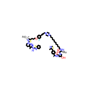 Cc1ncsc1-c1ccc([C@H](C)NC(=O)[C@@H]2C[C@@H](O)CN2C(=O)[C@@H](NC(=O)CCCCCCCCCCCN2CCN(CC#Cc3ccc(OCCCc4sc(N5CCCc6c5nnc(Nc5nc7ccccc7s5)c6C)nc4C(=O)O)c(F)c3)CC2)C(C)(C)C)cc1